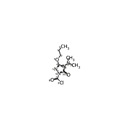 CCCOc1nn(C(=O)Cl)c(=O)n1N(C)C